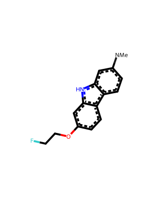 CNc1ccc2c(c1)[nH]c1cc(OCCF)ccc12